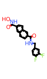 O=C(NO)c1ccc2cc(C(=O)NCc3ccc(F)c(F)c3)ccc2c1